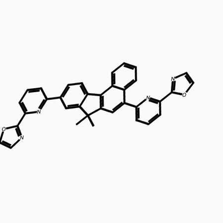 CC1(C)c2cc(-c3cccc(-c4ncco4)n3)ccc2-c2c1cc(-c1cccc(-c3ncco3)n1)c1ccccc21